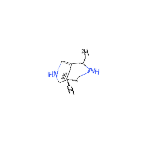 [2H]C1NC[C@@H]2CNC=C12